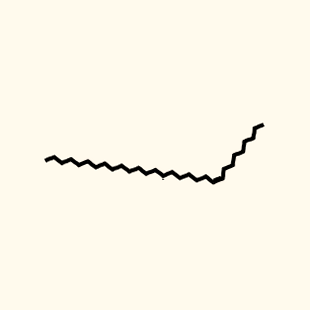 CCCCCCCC/C=C\CCCCC[CH]CCCCCCCCCCCCCC